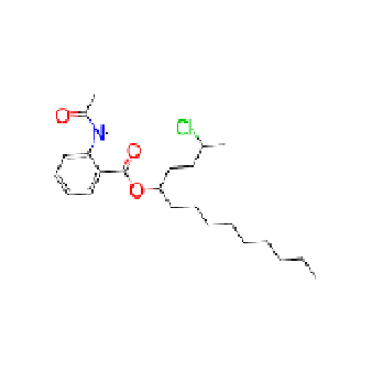 CCCCCCCCCC(CCC(C)Cl)OC(=O)c1ccccc1[N]C(C)=O